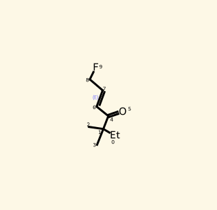 CCC(C)(C)C(=O)/C=C/CF